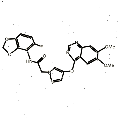 COc1cc2ncnc(Oc3cnn(CC(=O)Nc4c(F)ccc5c4OCO5)c3)c2cc1OC